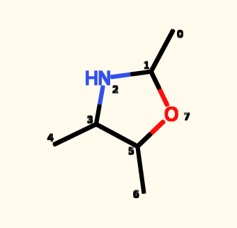 CC1NC(C)C(C)O1